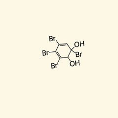 OC1C(Br)=C(Br)C(Br)=CC1(O)Br